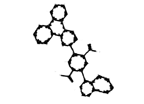 O=C(O)c1cc(-c2cccc3ccccc23)c(C(=O)O)cc1-c1ccc2c3ccccc3c3ccccc3c2c1